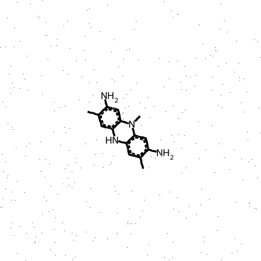 Cc1cc2c(cc1N)N(C)c1cc(N)c(C)cc1N2